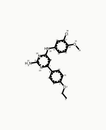 CCOc1ccc(-c2cc(Nc3ccc(OC)c(Cl)c3)nc(N)n2)cc1